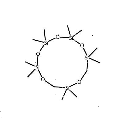 C[Si]1(C)CO[Si](C)(C)O[Si](C)(C)O[Si](C)(C)O[Si](C)(C)CO1